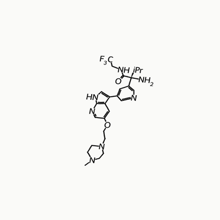 CC(C)[C@](N)(C(=O)NCC(F)(F)F)c1cncc(-c2c[nH]c3ncc(OCCN4CCN(C)CC4)cc23)c1